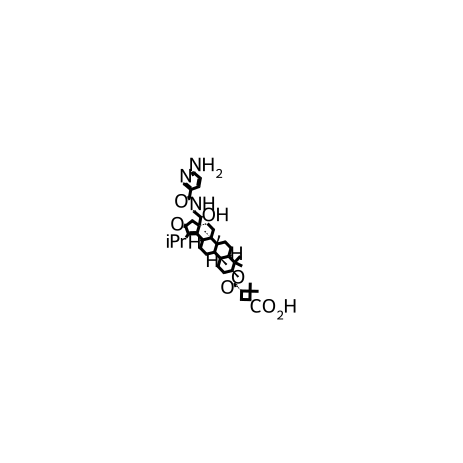 CC(C)C1=C2[C@H]3CC[C@@H]4[C@@]5(C)CC[C@H](OC(=O)[C@H]6C[C@@H](C(=O)O)C6(C)C)C(C)(C)[C@@H]5CC[C@@]4(C)[C@]3(C)CC[C@@]2([C@@H](O)CNC(=O)c2ccc(N)nc2)CC1=O